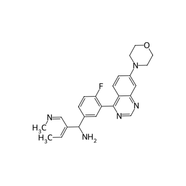 C/C=C(\C=N/C)C(N)c1ccc(F)c(-c2ncnc3cc(N4CCOCC4)ccc23)c1